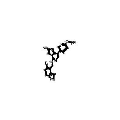 CC(C)Oc1ccc(-c2cnc(NCc3c(F)ccc4c3CCO4)n3cc(C#N)nc23)cn1